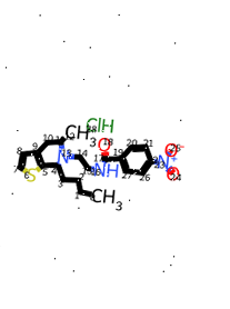 CCCCC1c2sccc2CC(C)N1CCNC(=O)c1ccc([N+](=O)[O-])cc1.Cl